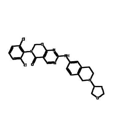 O=C1c2cnc(Nc3ccc4c(c3)CCN(C3CCOC3)C4)nc2OCN1c1c(Cl)cccc1Cl